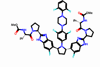 COC(=O)N[C@H](C(=O)N1CCCC1c1nc2cc([C@@H]3CC[C@@H](c4cc5nc([C@@H]6CCCN6C(=O)[C@@H](NC(=O)OC)C(C)C)[nH]c5cc4F)N3c3cc(F)c(N4CCN(c5c(F)cccc5F)CC4)c(F)c3)c(F)cc2[nH]1)C(C)C